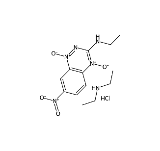 CCNCC.CCNc1n[n+]([O-])c2cc([N+](=O)[O-])ccc2[n+]1[O-].Cl